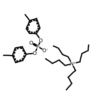 CCCC[N+](CCCC)(CCCC)CCCC.Cc1ccc(OP(=O)([O-])Oc2ccc(C)cc2)cc1